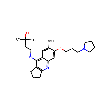 COc1cc2c(NCCC(C)(C)O)c3c(nc2cc1OCCCN1CCCC1)CCC3